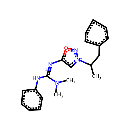 CC(Cc1ccccc1)[n+]1cc(/N=C(/Nc2ccccc2)N(C)C)on1